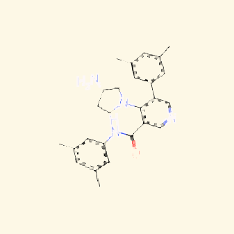 Cc1cc(C)cc(NC(=O)c2cncc(-c3cc(C)cc(C)c3)c2N2CC[C@H](N)C2)c1